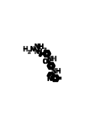 C/C(=N\N=C(N)N)c1cccc(NC(=O)c2ccc(Nc3ccnc4ccc(C)cc34)cc2)c1